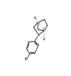 Brc1ccc(N2C[C@H]3CC[C@@H]2C3)cc1